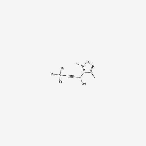 Cc1noc(C)c1[C@H](O)C#C[Si](C(C)C)(C(C)C)C(C)C